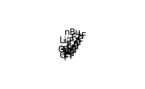 CCCCC(F)C(F)(F)C(F)(F)C(F)(F)C(F)(F)C(F)(F)S(=O)(=O)[O-].[Li+]